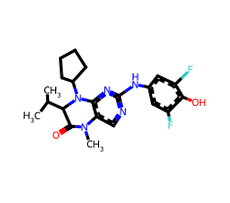 CC(C)C1C(=O)N(C)c2cnc(Nc3cc(F)c(O)c(F)c3)nc2N1C1CCCC1